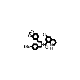 CC(C)(C)c1ccc(CN(CCc2ccc3c(c2)OCO3)C(=O)c2cc(Cl)cc3c2NCCC3)cc1